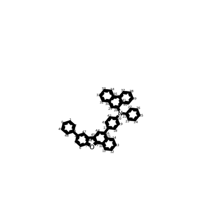 c1ccc(-c2ccc3oc4c5ccccc5c(-c5ccc(N(c6ccccc6)c6cc7ccccc7c7ccccc67)cc5)cc4c3c2)cc1